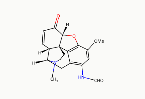 COc1cc(NC=O)c2c3c1O[C@H]1C(=O)C=C[C@H]4[C@@H](C2)N(C)CC[C@]314